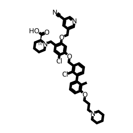 Cc1c(OCCCN2CCCCC2)cccc1-c1cccc(COc2cc(OCc3cncc(C#N)c3)c(CN3CCCC[C@H]3C(=O)O)cc2Cl)c1Cl